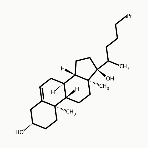 CC(C)CCCC(C)[C@@]1(O)CC[C@H]2[C@@H]3CC=C4C[C@@H](O)CC[C@]4(C)[C@H]3CC[C@@]21C